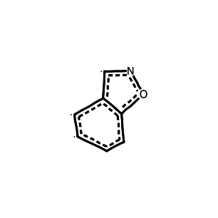 [c]1[c]c2[c]noc2cc1